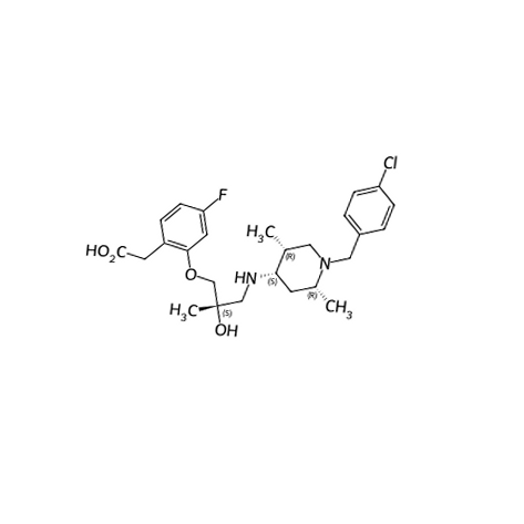 C[C@@H]1CN(Cc2ccc(Cl)cc2)[C@H](C)C[C@@H]1NC[C@](C)(O)COc1cc(F)ccc1CC(=O)O